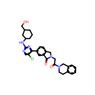 O=C(CN1Cc2ccc(-c3nc(NC4CCCC(CO)C4)ncc3Cl)cc2C1=O)N1CCc2ccccc2C1